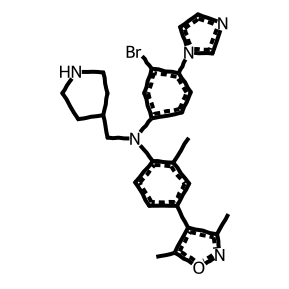 Cc1cc(-c2c(C)noc2C)ccc1N(CC1CCNCC1)c1ccc(-n2ccnc2)c(Br)c1